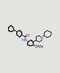 COc1ccc(NC(=O)c2ccc(-c3ccccc3)cc2)cc1C1CCN(C2CCCCC2)CC1